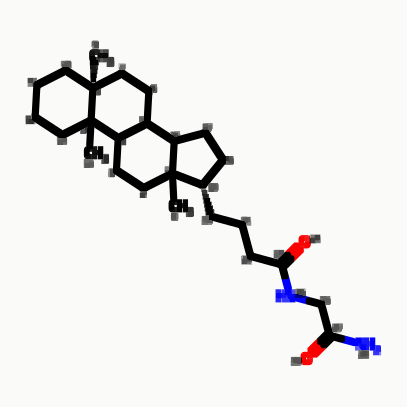 CC12CCC3C(CC[C@]4(C)CCCCC34C)C1CC[C@@H]2CCCC(=O)NCC(N)=O